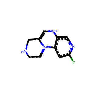 Fc1cc2c(cn1)NC=C1CNCCN12